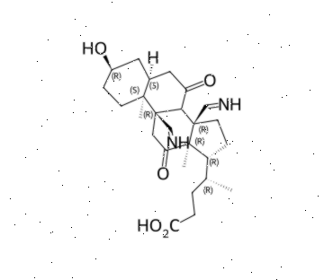 C[C@H](CCC(=O)O)[C@H]1CC[C@@]2(C=N)C3C(=O)C[C@@H]4C[C@H](O)CC[C@]4(C)[C@@]3(C=N)CC(=O)[C@]12C